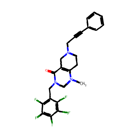 CN1CN(Cc2c(F)c(F)c(F)c(F)c2F)C(=O)C2=C1CCN(CC#Cc1ccccc1)C2